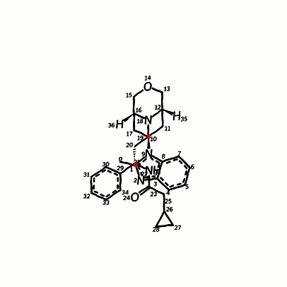 Cc1nc2ccccc2n1[C@@H]1C[C@H]2COC[C@@H](C1)N2CC[C@H](NC(=O)CC1CC1)c1ccccc1